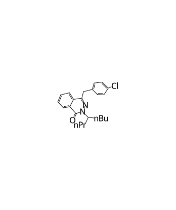 CCCCC(CCC)n1nc(Cc2ccc(Cl)cc2)c2ccccc2c1=O